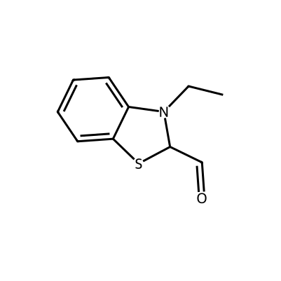 CCN1c2ccccc2SC1C=O